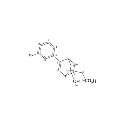 Cc1cccc(C2=CC3CCC2CC3(O)CC(=O)O)c1